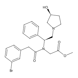 COC(=O)CN(C(=O)Cc1cccc(Br)c1)[C@H](CN1CC[C@H](O)C1)c1ccccc1